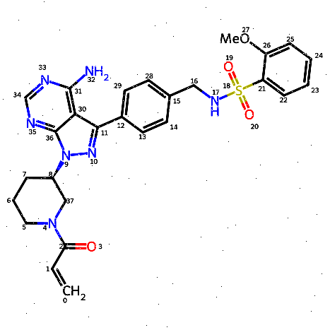 C=CC(=O)N1CCC[C@@H](n2nc(-c3ccc(CNS(=O)(=O)c4ccccc4OC)cc3)c3c(N)ncnc32)C1